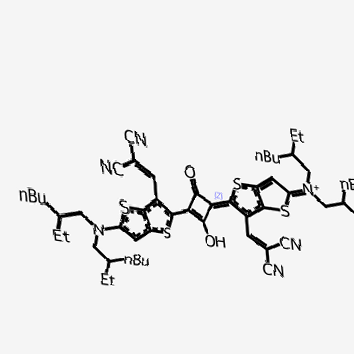 CCCCC(CC)CN(CC(CC)CCCC)c1cc2sc(C3=C(O)/C(=c4/sc5c(c4C=C(C#N)C#N)SC(=[N+](CC(CC)CCCC)CC(CC)CCCC)C=5)C3=O)c(C=C(C#N)C#N)c2s1